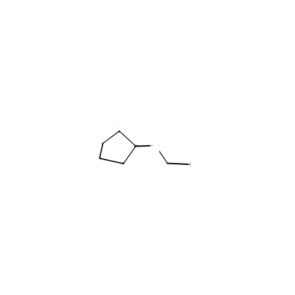 ICOC1CCCC1